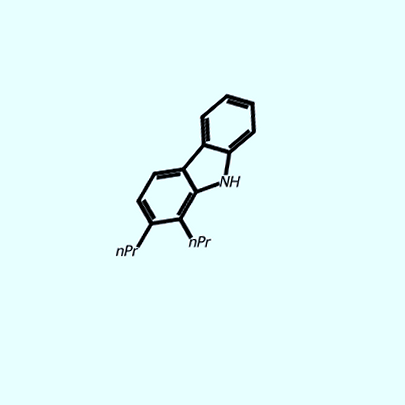 CCCc1ccc2c([nH]c3ccccc32)c1CCC